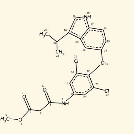 COC(=O)CC(=O)Nc1cc(Cl)c(Oc2ccc3[nH]cc(C(C)C)c3c2)c(Cl)c1